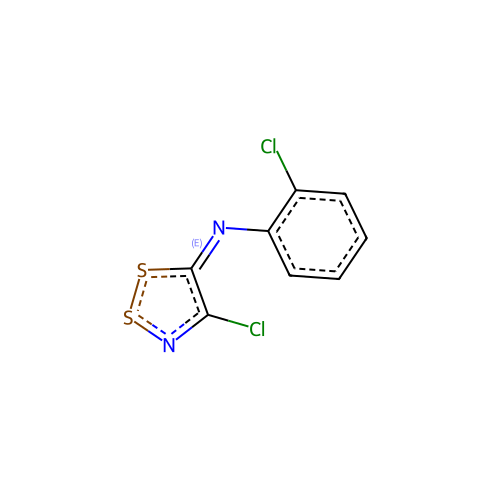 Clc1ccccc1/N=c1/ssnc1Cl